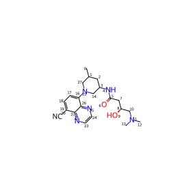 CC1CC(NC(=O)C[C@H](O)CN(C)C)CN(c2ccc(C#N)c3nccnc23)C1